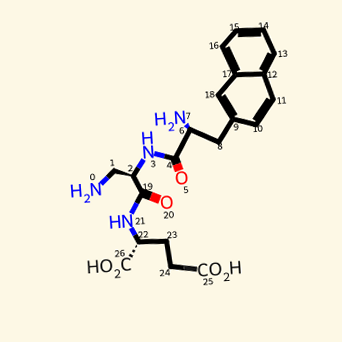 NC[C@@H](NC(=O)[C@@H](N)Cc1ccc2ccccc2c1)C(=O)N[C@H](CCC(=O)O)C(=O)O